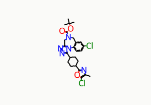 Cc1nc(C2CCC(c3nnc4n3-c3ccc(Cl)cc3CN(C(=O)OC(C)(C)C)C4)CC2)oc1Cl